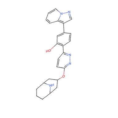 Oc1cc(-c2cnn3ccccc23)ccc1-c1ccc(OC2CC3CCCC(C2)N3)nn1